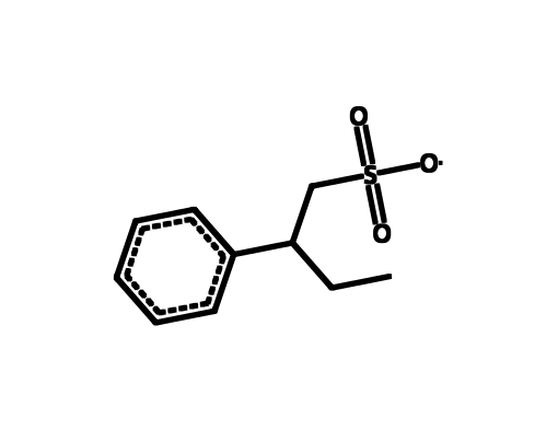 CCC(CS([O])(=O)=O)c1ccccc1